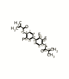 C=C(C)C(=O)Sc1ccc(-c2ccc(SC(=O)C(=C)C)c(F)c2F)cc1F